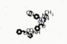 Cc1cnc(CN2C(=O)C(c3ccc(NC(=O)[C@@H]4CCCN4C(=O)OCc4ccccc4)cc3)S/C2=N\c2ccc(N3CCOCC3)cc2)cn1